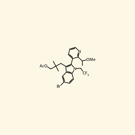 COC(C)c1ncccc1-c1c(CC(C)(C)COC(C)=O)c2cc(Br)ccc2n1CC(F)(F)F